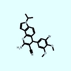 COc1cc(C2C(C#N)=C(N)Oc3c2ccc2c3ccn2C(C)C)cc(Br)c1OC